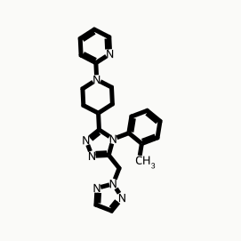 Cc1ccccc1-n1c(Cn2nccn2)nnc1C1CCN(c2ccccn2)CC1